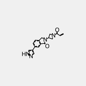 C=CC(=O)N1CC(N2Cc3ccc(-c4cn[nH]c4)cc3C2=O)C1